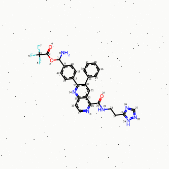 NC(OC(=O)C(F)(F)F)c1ccc(-c2nc3ccnc(C(=O)NCCc4ncn[nH]4)c3cc2-c2ccccc2)cc1